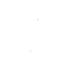 CC(C)COc1c(C(=O)Cl)c2ccc(CC(C)C)cc2[nH]c1=O